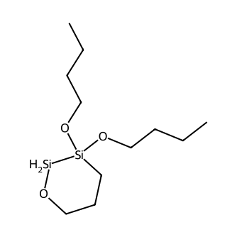 CCCCO[Si]1(OCCCC)CCCO[SiH2]1